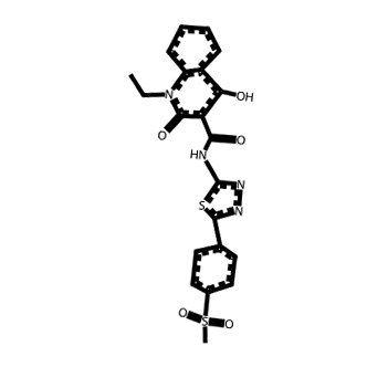 CCn1c(=O)c(C(=O)Nc2nnc(-c3ccc(S(C)(=O)=O)cc3)s2)c(O)c2ccccc21